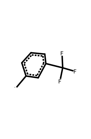 [CH2]c1cccc(C(F)(F)F)c1